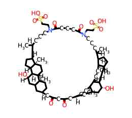 C[C@H]1CCCN(CCS(=O)(=O)O)C(=O)CCCC(=O)N(CCS(=O)(=O)O)CCC[C@H](C)[C@H]2CC[C@H]3[C@@H]4[C@@H](O)CC5C[C@@H](CC[C@]5(C)[C@H]4CC[C@]23C)CC(=O)CC(=O)C[C@H]2CC[C@]3(C)C(C2)C[C@@H](O)[C@@H]2[C@H]4CC[C@H]1[C@]4(C)CC[C@H]23